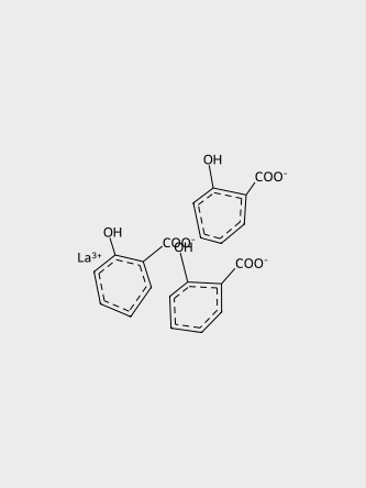 O=C([O-])c1ccccc1O.O=C([O-])c1ccccc1O.O=C([O-])c1ccccc1O.[La+3]